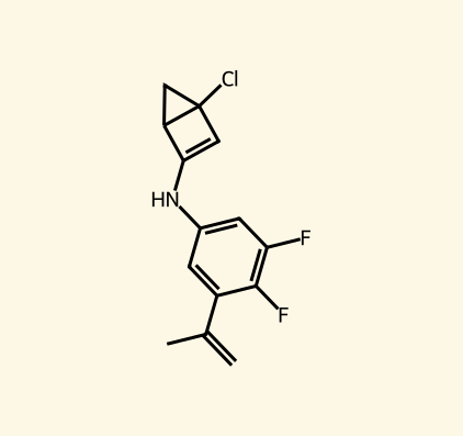 C=C(C)c1cc(NC2=CC3(Cl)CC23)cc(F)c1F